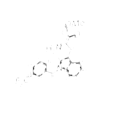 COOC(=O)[C@@H](N)Cc1cn(Cc2cccc(C(F)(F)F)c2)c2ccccc12